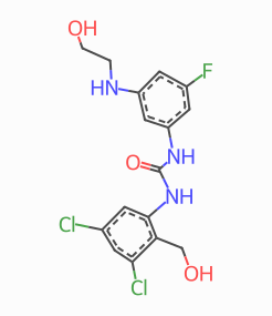 O=C(Nc1cc(F)cc(NCCO)c1)Nc1cc(Cl)cc(Cl)c1CO